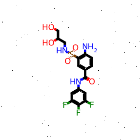 Nc1ccc(C(=O)Nc2cc(F)c(F)c(F)c2)cc1S(=O)(=O)NCC(O)CO